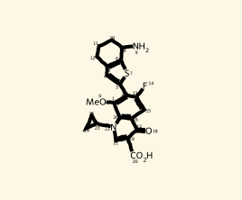 COc1c(-c2cc3c(s2)C(N)CCC3)c(F)cc2c(=O)c(C(=O)O)cn(C3CC3)c12